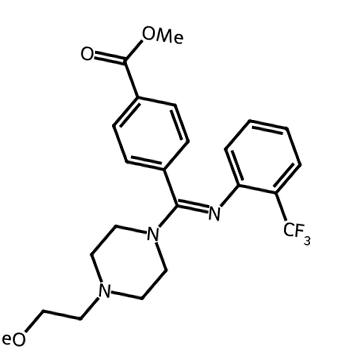 COCCN1CCN(/C(=N/c2ccccc2C(F)(F)F)c2ccc(C(=O)OC)cc2)CC1